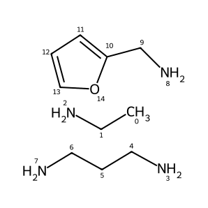 CCN.NCCCN.NCc1ccco1